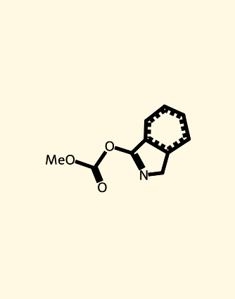 COC(=O)OC1=NCc2ccccc21